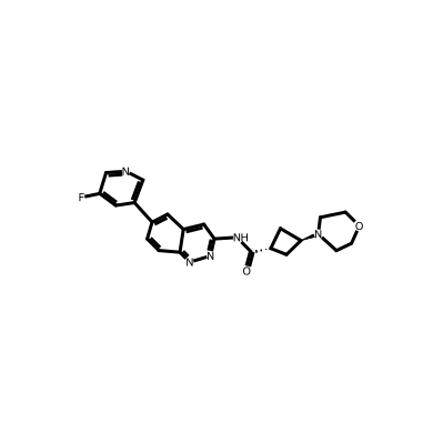 O=C(Nc1cc2cc(-c3cncc(F)c3)ccc2nn1)[C@H]1C[C@H](N2CCOCC2)C1